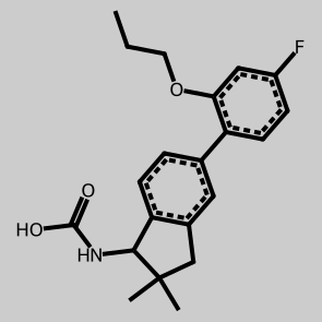 CCCOc1cc(F)ccc1-c1ccc2c(c1)CC(C)(C)C2NC(=O)O